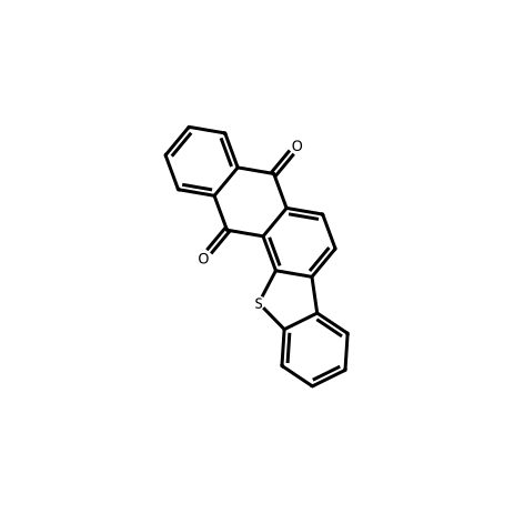 O=C1c2ccccc2C(=O)c2c1ccc1c2sc2ccccc21